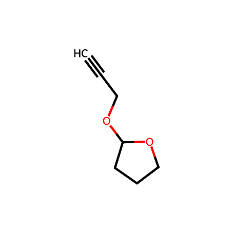 C#CCOC1CCCO1